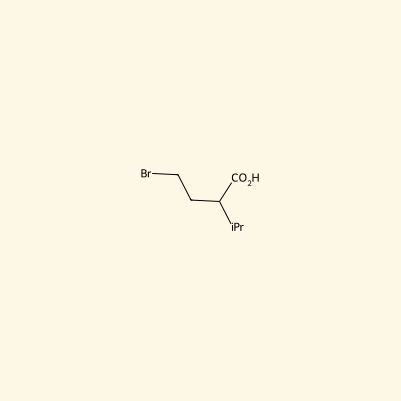 CC(C)C(CCBr)C(=O)O